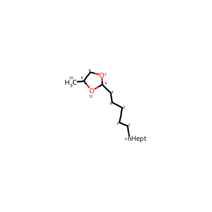 CCCCCCCCCCCCC1OCC(C)O1